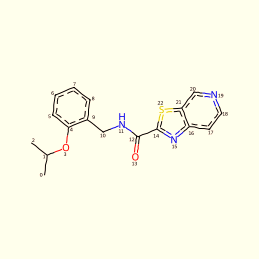 CC(C)Oc1ccccc1CNC(=O)c1nc2ccncc2s1